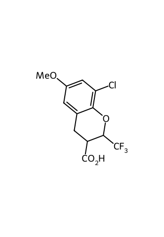 COc1cc(Cl)c2c(c1)CC(C(=O)O)C(C(F)(F)F)O2